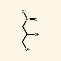 O=[N+]([O-])[CH]C(O)CO